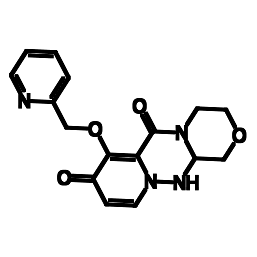 O=C1c2c(OCc3ccccn3)c(=O)ccn2NC2COCCN12